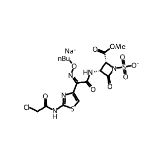 CCCCON=C(C(=O)N[C@H]1C(=O)N(S(=O)(=O)[O-])[C@H]1C(=O)OC)c1csc(NC(=O)CCl)n1.[Na+]